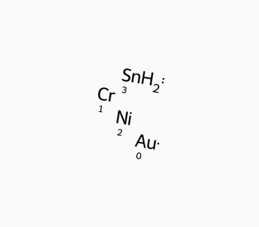 [Au].[Cr].[Ni].[SnH2]